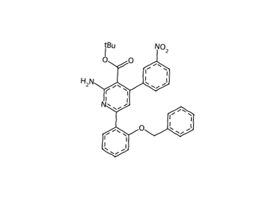 CC(C)(C)OC(=O)c1c(-c2cccc([N+](=O)[O-])c2)cc(-c2ccccc2OCc2ccccc2)nc1N